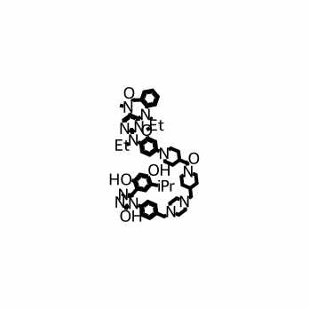 CCOc1cc(N2CCC(C(=O)N3CCC(CN4CCN(Cc5ccc(-n6c(O)nnc6-c6cc(C(C)C)c(O)cc6O)cc5)CC4)CC3)CC2)ccc1N(CC)c1ncc2c(n1)N(C)c1ccccc1C(=O)N2C